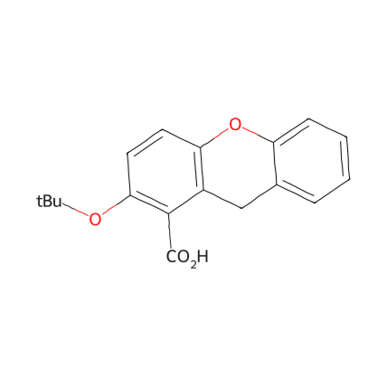 CC(C)(C)Oc1ccc2c(c1C(=O)O)Cc1ccccc1O2